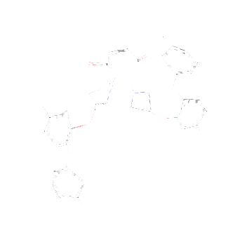 O=C(/C=C\C(=O)ON1CC(Oc2cc(Cl)ccc2Oc2cccc(Cl)c2)C1)ON1CC(Oc2cc(Cl)ccc2Oc2cccc(Cl)c2)C1